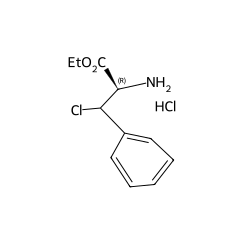 CCOC(=O)[C@@H](N)C(Cl)c1ccccc1.Cl